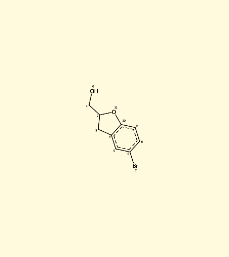 OCC1Cc2cc(Br)ccc2O1